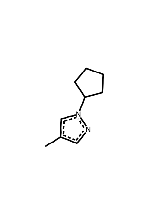 Cc1cnn(C2CCCC2)c1